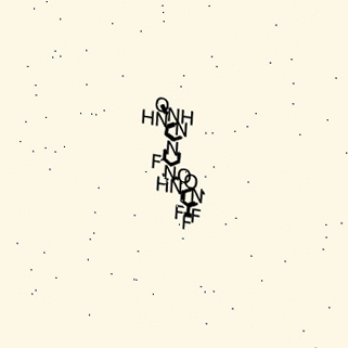 CN(C(=O)Nc1cc(C(F)(F)F)cn(C)c1=O)[C@H]1CCN(c2cnc3[nH]c(=O)[nH]c3c2)C[C@H]1F